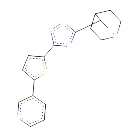 c1cncc(-c2ccc(-c3noc(C4CN5CCC4CC5)n3)s2)c1